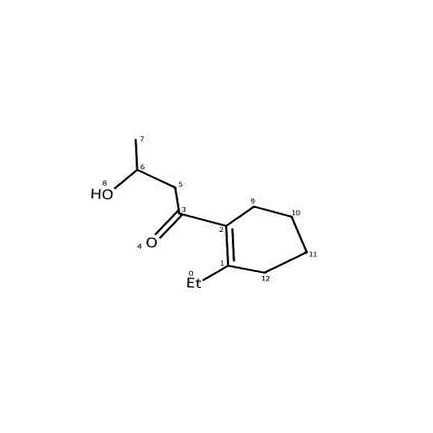 CCC1=C(C(=O)CC(C)O)CCCC1